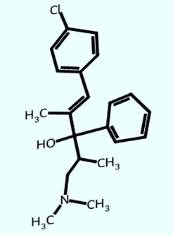 C/C(=C\c1ccc(Cl)cc1)C(O)(c1ccccc1)C(C)CN(C)C